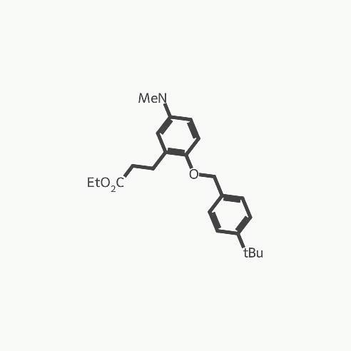 CCOC(=O)CCc1cc(NC)ccc1OCc1ccc(C(C)(C)C)cc1